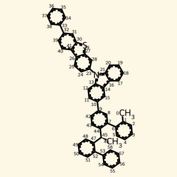 Cc1ccccc1-c1cc(-c2ccc3c(c2)c2ccccc2n3-c2ccc3c(c2)sc2cc(-c4ccccc4)ccc23)ccc1[C@@H](C)c1ccccc1-c1ccccc1